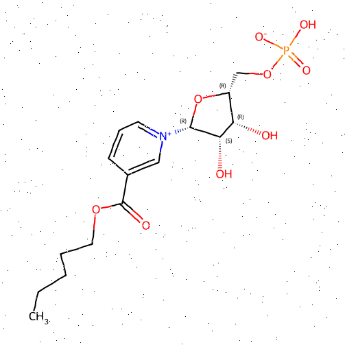 CCCCCOC(=O)c1ccc[n+]([C@@H]2O[C@H](COP(=O)([O-])O)[C@H](O)[C@@H]2O)c1